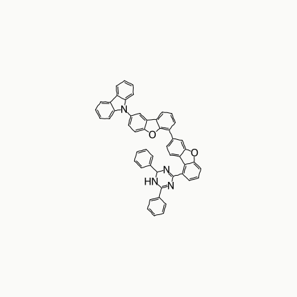 c1ccc(C2=NC(c3cccc4oc5cc(-c6cccc7c6oc6ccc(-n8c9ccccc9c9ccccc98)cc67)ccc5c34)=NC(c3ccccc3)N2)cc1